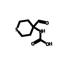 O=CC1(NC(=O)O)CCSCC1